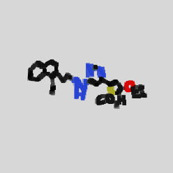 C#Cc1c(CCNc2cc(-c3cc(OCC)c(C(=O)O)s3)ncn2)ccc2ccccc12